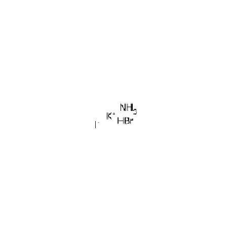 Br.N.[I-].[K+]